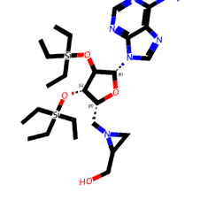 CC[Si](CC)(CC)OC1[C@@H](O[Si](CC)(CC)CC)[C@@H](CN2CC2CO)O[C@H]1n1cnc2c(N)ncnc21